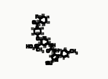 CS(=O)(=O)O.Cc1ccc(-n2nc(C(C)(C)C)cc2NC(=O)Nc2cnc(OC3CCN(C(=O)c4ccccc4F)CC3)c(Cl)c2)cc1